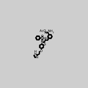 CC(=O)ON=C(N)c1cccc(CC(NS(=O)(=O)c2ccccc2)c2nc3ccc(OCCc4ncc[nH]4)cc3s2)c1